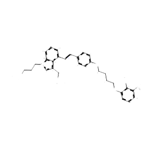 O=C(O)CCCn1cc(CC(=O)O)c2c(/C=C/c3ccc(OCCCCOc4cccc(Cl)c4Cl)cc3)cccc21